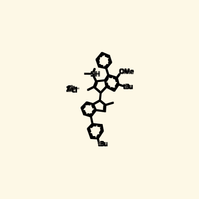 COc1c(C(C)(C)C)cc2c(c1-c1ccccc1)C([SiH](C)C)=C(C)C2C1C(C)=Cc2c(-c3ccc(C(C)(C)C)cc3)cccc21.[Cl-].[Cl-].[Zr+2]